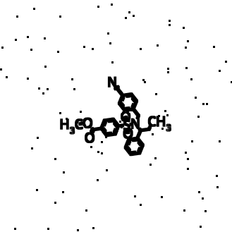 CCC(c1ccccc1)N(Cc1ccc(C#N)cc1)S(=O)(=O)c1ccc(C(=O)OC)cc1